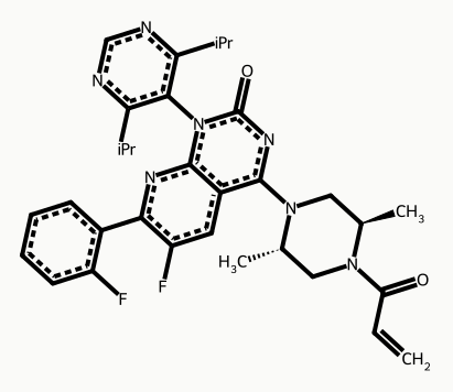 C=CC(=O)N1C[C@H](C)N(c2nc(=O)n(-c3c(C(C)C)ncnc3C(C)C)c3nc(-c4ccccc4F)c(F)cc23)C[C@H]1C